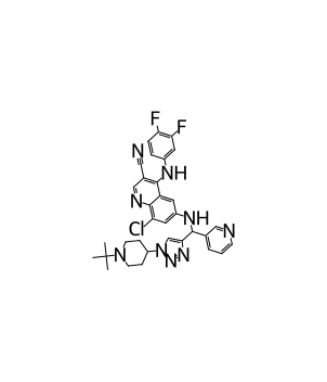 CC(C)(C)N1CCC(n2cc(C(Nc3cc(Cl)c4ncc(C#N)c(Nc5ccc(F)c(F)c5)c4c3)c3cccnc3)nn2)CC1